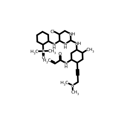 C=CC(=O)NC1CC(NC2NCC(Cl)C(NC3CCCCC3P(C)(C)=O)N2)C(C)CC1C#CCN(C)C